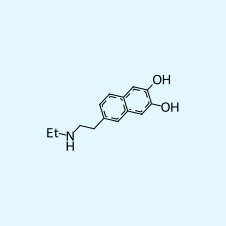 CCNCCc1ccc2cc(O)c(O)cc2c1